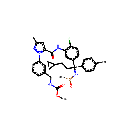 CCCCOC(=O)NCc1cccc(-n2nc(C(F)(F)F)cc2C(=O)Nc2cc(C(CCC3CC3)(N[S@+]([O-])C(C)(C)C)c3ccc(C#N)cc3)ccc2F)c1